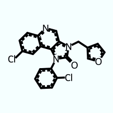 O=c1n(Cc2ccoc2)c2cnc3ccc(Cl)cc3c2n1-c1ccccc1Cl